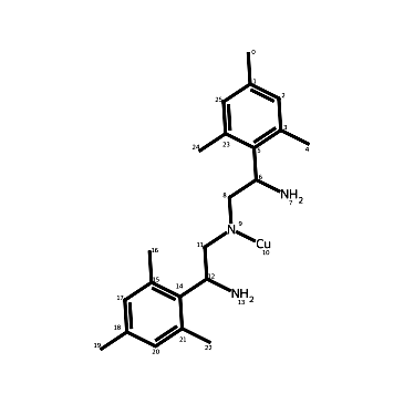 Cc1cc(C)c(C(N)C[N]([Cu])CC(N)c2c(C)cc(C)cc2C)c(C)c1